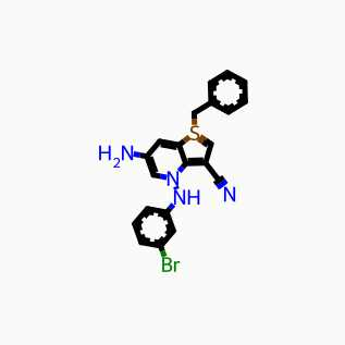 N#CC1=C2C(=CC(N)=CN2Nc2cccc(Br)c2)S(Cc2ccccc2)=C1